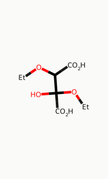 CCOC(C(=O)O)C(O)(OCC)C(=O)O